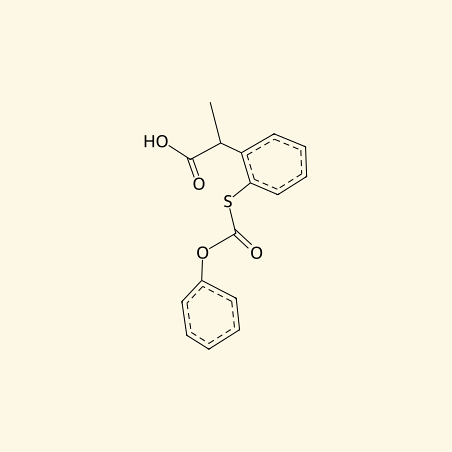 CC(C(=O)O)c1ccccc1SC(=O)Oc1ccccc1